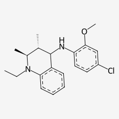 CCN1c2ccccc2C(Nc2ccc(Cl)cc2OC)[C@@H](C)[C@@H]1C